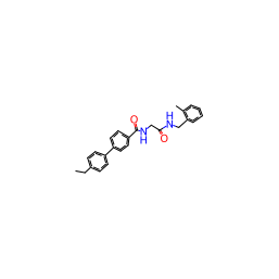 CCc1ccc(-c2ccc(C(=O)NCC(=O)NCc3ccccc3C)cc2)cc1